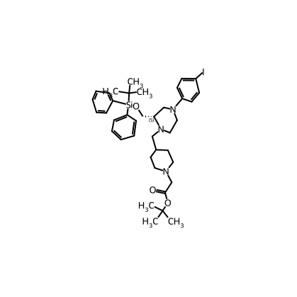 CC(C)(C)OC(=O)CN1CCC(CN2CCN(c3ccc(I)cc3)C[C@H]2CO[Si](c2ccccc2)(c2ccccc2)C(C)(C)C)CC1